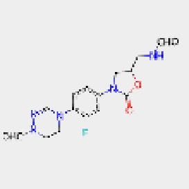 O=CNCC1CN(c2ccc(N3C=NN(C=O)CC3)c(F)c2)C(=O)O1